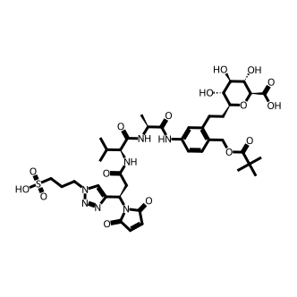 CC(C)[C@H](NC(=O)C[C@H](c1cn(CCCS(=O)(=O)O)nn1)N1C(=O)C=CC1=O)C(=O)N[C@@H](C)C(=O)Nc1ccc(COC(=O)C(C)(C)C)c(CC[C@@H]2O[C@H](C(=O)O)[C@@H](O)[C@H](O)[C@H]2O)c1